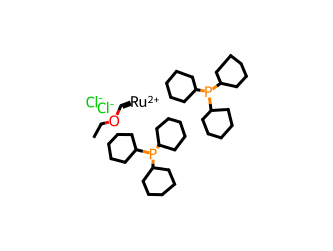 C1CCC(P(C2CCCCC2)C2CCCCC2)CC1.C1CCC(P(C2CCCCC2)C2CCCCC2)CC1.CCO[CH]=[Ru+2].[Cl-].[Cl-]